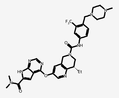 CC[C@H]1CN(C(=O)Nc2ccc(CN3CCN(C)CC3)c(C(F)(F)F)c2)Cc2cc(Oc3ncnc4[nH]c(C(=O)N(C)C)cc34)cnc21